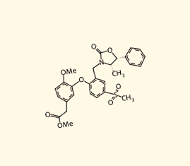 COC(=O)Cc1ccc(OC)c(Oc2ccc(S(C)(=O)=O)cc2CN2C(=O)O[C@H](c3ccccc3)[C@@H]2C)c1